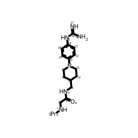 CC(C)NCC(=O)NCC1CCN(c2ccc(NC(=N)N)cc2)CC1